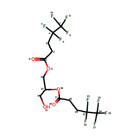 O=C(CCC(F)(F)C(F)(F)F)OCC(CO)OC(=O)CCC(F)(F)C(F)(F)F